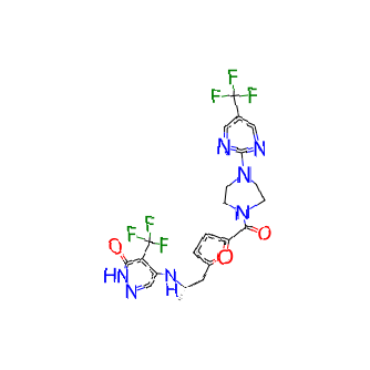 C[C@@H](Cc1ccc(C(=O)N2CCN(c3ncc(C(F)(F)F)cn3)CC2)o1)Nc1cn[nH]c(=O)c1C(F)(F)F